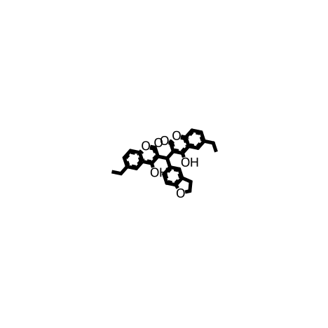 CCc1ccc2oc(=O)c(C(c3ccc4c(c3)CCO4)c3c(O)c4cc(CC)ccc4oc3=O)c(O)c2c1